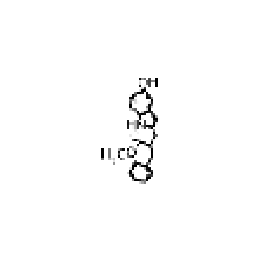 COC(=O)C(Cc1ccccc1)Cc1cc2cc(O)ccc2[nH]1